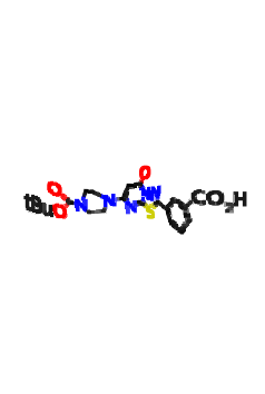 CC(C)(C)OC(=O)N1CCN(c2cc(=O)n3nc(-c4cccc(C(=O)O)c4)sc3n2)CC1